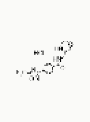 Cl.O=C(NC[C@@H]1COCCN1)c1ccc(-c2noc(C(F)(F)F)n2)cc1